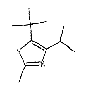 Cc1nc(C(C)C)c(C(C)(C)C)s1